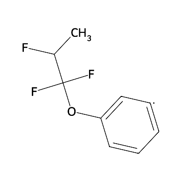 CC(F)C(F)(F)Oc1c[c]ccc1